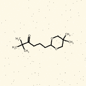 CC1(C)COC(CCCC(=O)C(C)(C)C)OC1